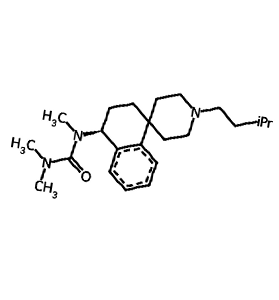 CC(C)CCN1CCC2(CC[C@H](N(C)C(=O)N(C)C)c3ccccc32)CC1